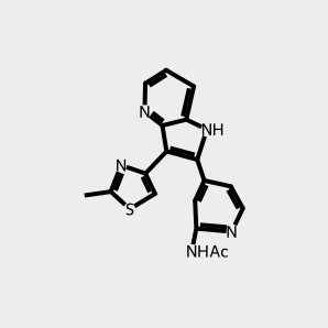 CC(=O)Nc1cc(-c2[nH]c3cccnc3c2-c2csc(C)n2)ccn1